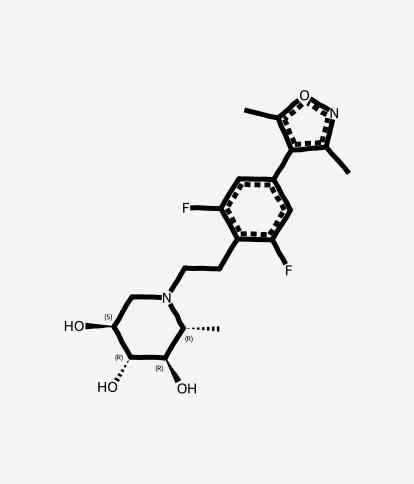 Cc1noc(C)c1-c1cc(F)c(CCN2C[C@H](O)[C@@H](O)[C@H](O)[C@H]2C)c(F)c1